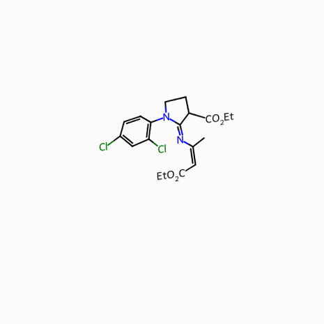 CCOC(=O)/C=C(C)\N=C1/C(C(=O)OCC)CCN1c1ccc(Cl)cc1Cl